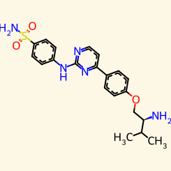 CC(C)[C@H](N)COc1ccc(-c2ccnc(Nc3ccc(S(N)(=O)=O)cc3)n2)cc1